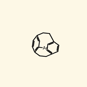 CC(=O)c1cc2ccc1CCc1ccc(cc1)CC2